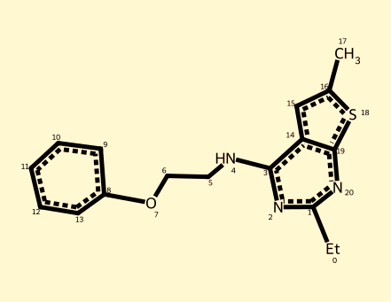 CCc1nc(NCCOc2ccccc2)c2cc(C)sc2n1